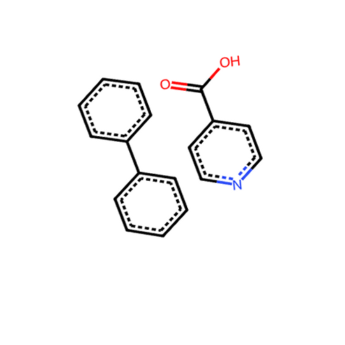 O=C(O)c1ccncc1.c1ccc(-c2ccccc2)cc1